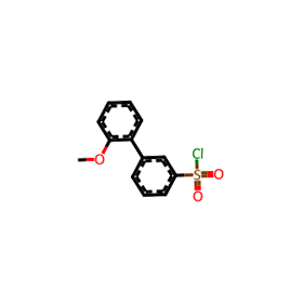 COc1ccccc1-c1cccc(S(=O)(=O)Cl)c1